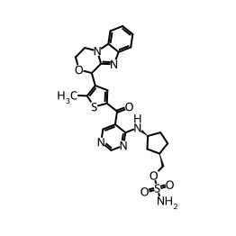 Cc1sc(C(=O)c2cncnc2N[C@H]2CC[C@@H](COS(N)(=O)=O)C2)cc1C1OCCn2c1nc1ccccc12